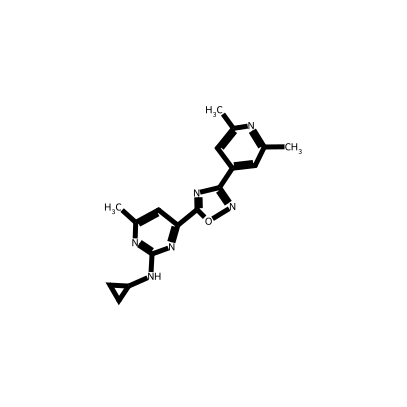 Cc1cc(-c2noc(-c3cc(C)nc(NC4CC4)n3)n2)cc(C)n1